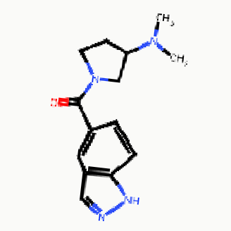 CN(C)C1CCN(C(=O)c2ccc3[nH]ncc3c2)C1